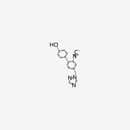 [C-]#[N+]c1cc(Cn2cncn2)ccc1-c1ccc(O)cc1